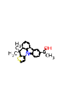 CB(O)c1ccc2c(c1)c1cccc3c1n2-c1ccsc1C3(C)C